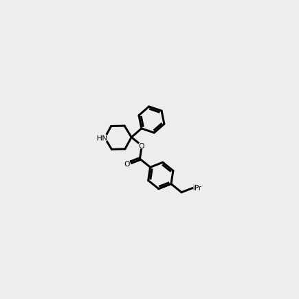 CC(C)Cc1ccc(C(=O)OC2(c3ccccc3)CCNCC2)cc1